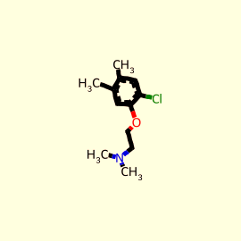 Cc1cc(Cl)c(OCCN(C)C)cc1C